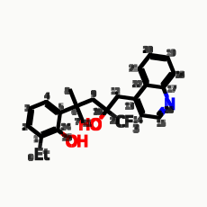 CCc1cccc(C(C)(C)CC(O)(Cc2ccnc3ccccc23)C(F)(F)F)c1O